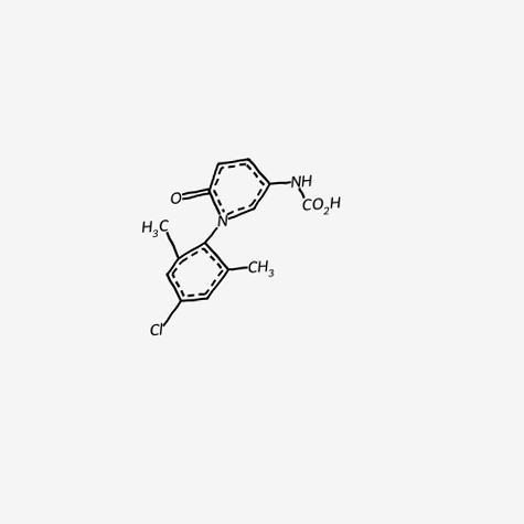 Cc1cc(Cl)cc(C)c1-n1cc(NC(=O)O)ccc1=O